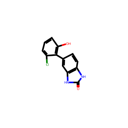 O=c1[nH]c2ccc(-c3c(O)cccc3Cl)cc2[nH]1